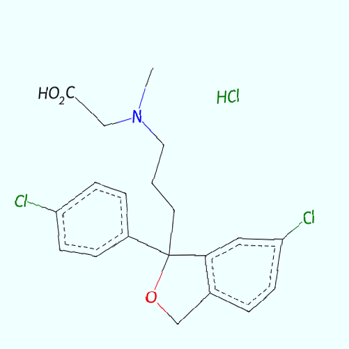 CN(CCCC1(c2ccc(Cl)cc2)OCc2ccc(Cl)cc21)CC(=O)O.Cl